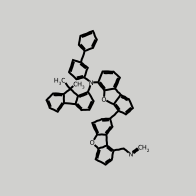 C=NCc1cccc2oc3ccc(-c4cccc5c4oc4c(N(c6cccc(-c7ccccc7)c6)c6cccc7c6C(C)(C)c6ccccc6-7)cccc45)cc3c12